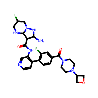 NC1NN2CC(F)CNC2C1C(=O)Nc1cnccc1-c1ccc(C(=O)N2CCN(C3COC3)CC2)cc1F